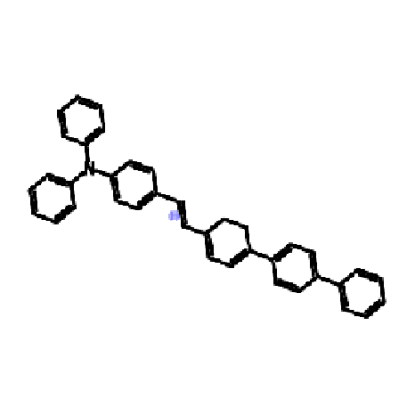 C1=C(/C=C/c2ccc(N(c3ccccc3)c3ccccc3)cc2)CCC(c2ccc(-c3ccccc3)cc2)=C1